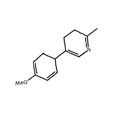 COC1=CCC(C2=CN=C(C)CC2)C=C1